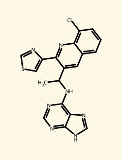 CC(Nc1ncnc2[nH]cnc12)c1cc2cccc(Cl)c2nc1-c1cscn1